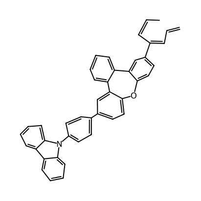 C=C/C=C(\C=C/C)c1ccc2c(c1)-c1ccccc1-c1cc(-c3ccc(-n4c5ccccc5c5ccccc54)cc3)ccc1O2